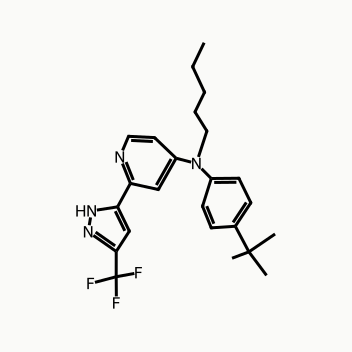 CCCCCN(c1ccc(C(C)(C)C)cc1)c1ccnc(-c2cc(C(F)(F)F)n[nH]2)c1